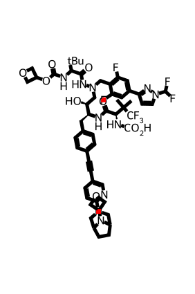 CC(C)(C)C(NC(=O)OC1COC1)C(=O)NN(Cc1c(F)cc(-c2ccn(C(F)F)n2)cc1F)C[C@H](O)[C@H](Cc1ccc(C#Cc2ccc(N3CC4CCC(C3)N4C3COC3)nc2)cc1)NC(=O)[C@@H](NC(=O)O)C(C)(C)C(F)(F)F